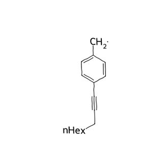 [CH2]c1ccc(C#CCCCCCCC)cc1